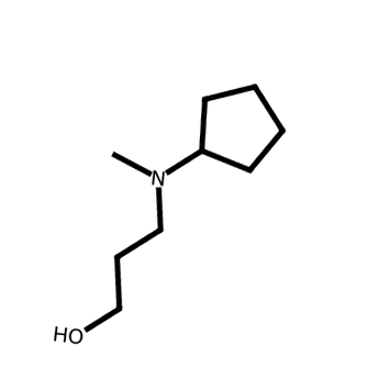 CN(CCCO)C1CCCC1